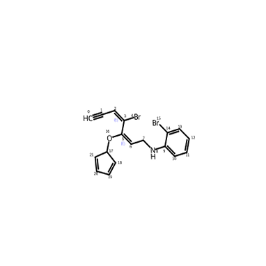 C#C/C=C(Br)\C(=C/CNc1ccccc1Br)OC1C=CC=C1